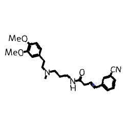 COc1ccc(CCN(C)CCCNC(=O)C/C=C/c2cccc(C#N)c2)cc1OC